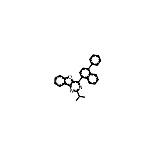 CC(C)c1nc(-c2ccc(-c3ccccc3)c3ccccc23)c2oc3ccccc3c2n1